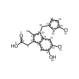 Cc1c(CC(=O)O)c2cc(O)c(Cl)cc2n1Cc1ccc(Cl)s1